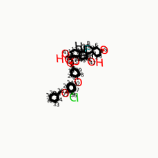 C[C@]12C=CC(=O)C=C1CC[C@H]1[C@@H]3CC[C@](OC(=O)c4ccc(Oc5ccc(OCc6ccccc6)c(Cl)c5)cc4)(C(=O)O)[C@@]3(C)C[C@H](O)[C@@]12F